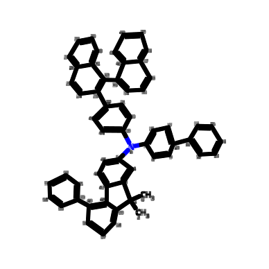 CC1(C)c2cc(N(c3ccc(-c4ccccc4)cc3)c3ccc(-c4ccc5ccccc5c4-c4cccc5ccccc45)cc3)ccc2-c2c(-c3ccccc3)cccc21